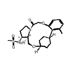 Cc1cccc2c1[C@H]1CC[C@H](CC1)OC[C@H]1[C@@H](NS(C)(=O)=O)CCN1C(=O)CO2